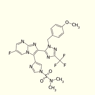 COc1ccc(Cn2nc(C(F)(F)F)nc2-c2nc3ncc(F)cn3c2-c2cn(S(=O)(=O)N(C)C)cn2)cc1